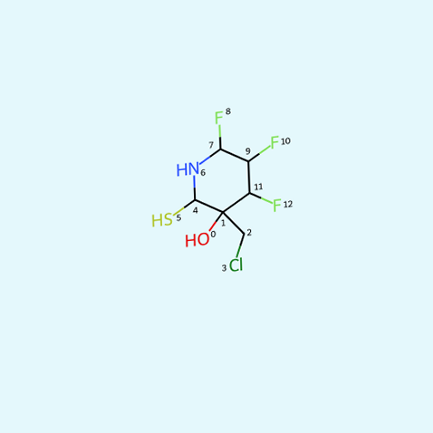 OC1(CCl)C(S)NC(F)C(F)C1F